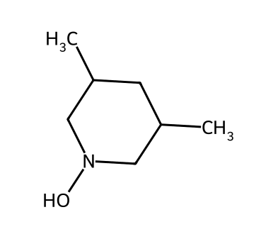 CC1CC(C)CN(O)C1